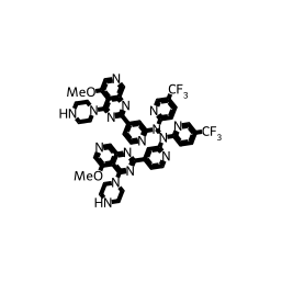 COc1cncc2nc(-c3ccnc(N(c4ccc(C(F)(F)F)cn4)N(c4ccc(C(F)(F)F)cn4)c4cc(-c5nc(N6CCNCC6)c6c(OC)cncc6n5)ccn4)c3)nc(N3CCNCC3)c12